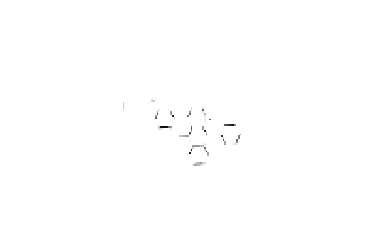 CC(C)(C)c1ccc(Oc2c3ccccc3c(-c3ccccc3)c3ncccc23)cc1